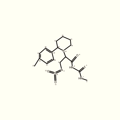 CNC(=S)NC(=O)C(CN=S(=O)=O)N1CCCCC1c1ccc(C)cc1